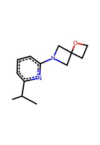 CC(C)c1cccc(N2CC3(CCO3)C2)n1